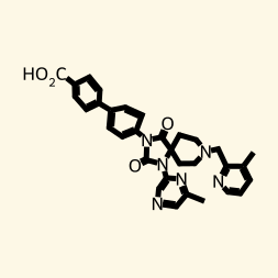 Cc1cncc(N2C(=O)N(c3ccc(-c4ccc(C(=O)O)cc4)cc3)C(=O)C23CCN(Cc2ncccc2C)CC3)n1